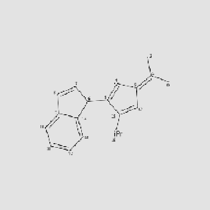 CC(C)=C1[C]=C(C2C=Cc3ccccc32)C(C(C)C)=C1